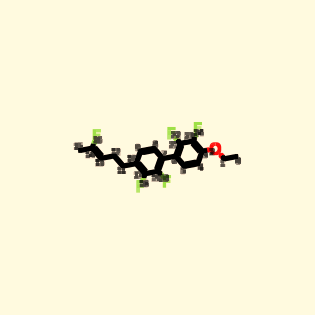 CCOc1ccc(-c2ccc(CCC=C(C)F)c(F)c2F)c(F)c1F